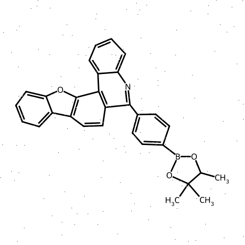 CC1OB(c2ccc(-c3nc4ccccc4c4c3ccc3c5ccccc5oc34)cc2)OC1(C)C